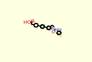 O=C(O)CC1CCC(c2ccc(-c3ccc4c(c3)CCN4C(=O)Nc3ccc(F)cc3)cc2)CC1